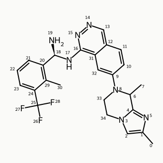 Cc1cn2c(n1)C(C)N(c1ccc3cnnc(N[C@H](N)c4cccc(C(F)(F)F)c4C)c3c1)CC2